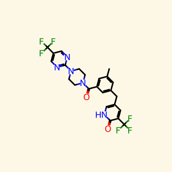 Cc1cc(Cc2c[nH]c(=O)c(C(F)(F)F)c2)cc(C(=O)N2CCN(c3ncc(C(F)(F)F)cn3)CC2)c1